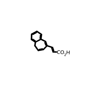 O=C(O)/C=C/C1=Cc2ccccc2CC=C1